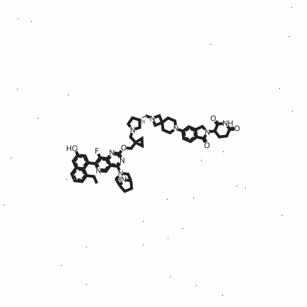 CCc1cccc2cc(O)cc(-c3ncc4c(N5CC6CCC(C5)N6)nc(OCC5(CN6CC[C@H](CN7CC8(CCN(c9ccc%10c(c9)CN(C9CCC(=O)NC9=O)C%10=O)CC8)C7)C6)CC5)nc4c3F)c12